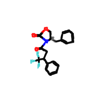 O=C(CC(c1ccccc1)C(F)(F)F)N1C(=O)OC[C@@H]1Cc1ccccc1